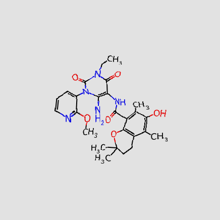 CCn1c(=O)c(NC(=O)c2c(C)c(O)c(C)c3c2OC(C)(C)CC3)c(N)n(-c2cccnc2OC)c1=O